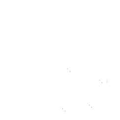 COc1cccc(-n2cc(C3CC=CC3)c3ncnc(N)c32)c1